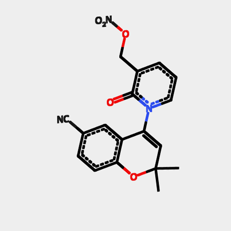 CC1(C)C=C(n2cccc(CO[N+](=O)[O-])c2=O)c2cc(C#N)ccc2O1